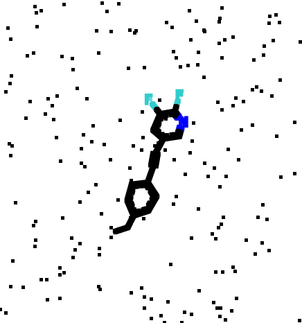 CCc1ccc(C#Cc2cnc(F)c(F)c2)cc1